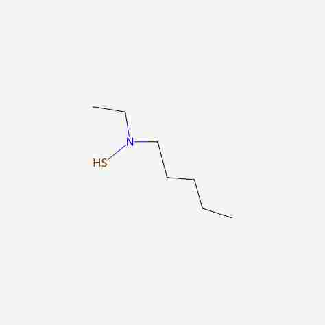 CCCCCN(S)CC